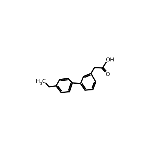 CCc1ccc(-c2cccc(CC(=O)O)c2)cc1